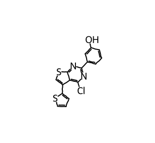 Oc1cccc(-c2nc(Cl)c3c(-c4cccs4)csc3n2)c1